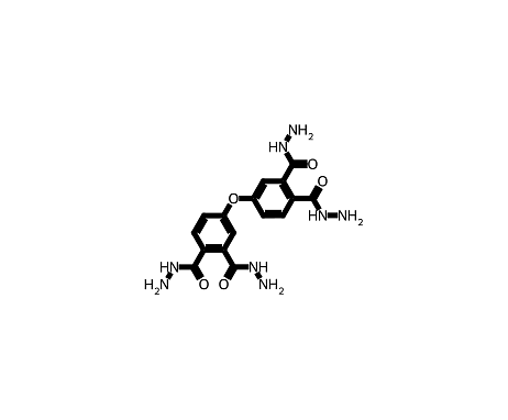 NNC(=O)c1ccc(Oc2ccc(C(=O)NN)c(C(=O)NN)c2)cc1C(=O)NN